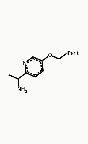 CCCC(C)COc1ccc(C(C)N)nc1